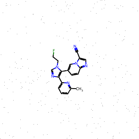 Cc1cccc(-c2ncn(CCF)c2-c2ccc3ncc(C#N)n3c2)n1